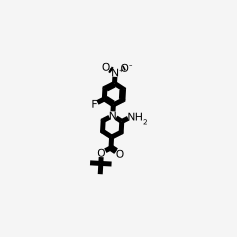 CC(C)(C)OC(=O)C1CCN(c2ccc([N+](=O)[O-])cc2F)C(N)C1